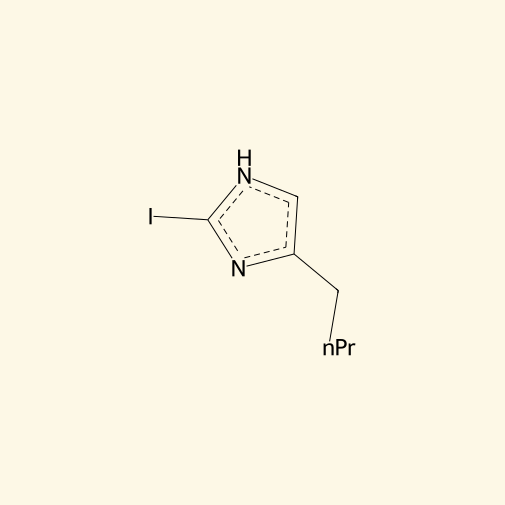 CCCCc1c[nH]c(I)n1